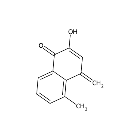 C=C1C=C(O)C(=O)c2cccc(C)c21